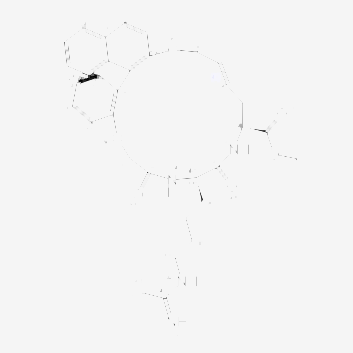 COC(=O)[C@@H]1C/C=C/COc2ccc3ccccc3c2-c2c(ccc3ccccc23)OCC(=O)N[C@H](CCCCNC(=N)Cl)C(=O)N1